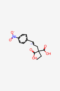 CCC(C/C=C/c1ccc([N+](=O)[O-])cc1)(C(=O)O)C(=O)O